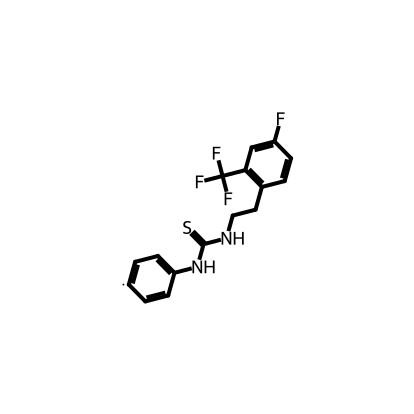 Fc1ccc(CCNC(=S)Nc2cc[c]cc2)c(C(F)(F)F)c1